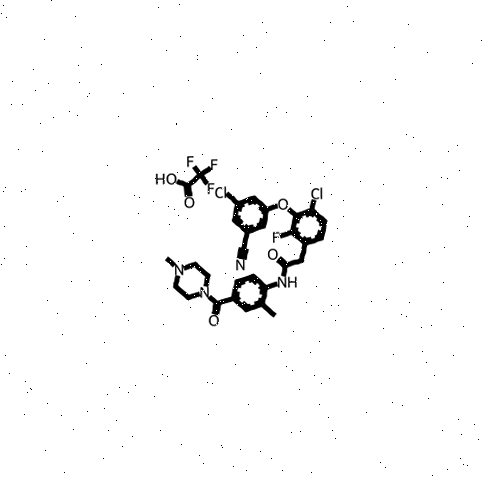 Cc1cc(C(=O)N2CCN(C)CC2)ccc1NC(=O)Cc1ccc(Cl)c(Oc2cc(Cl)cc(C#N)c2)c1F.O=C(O)C(F)(F)F